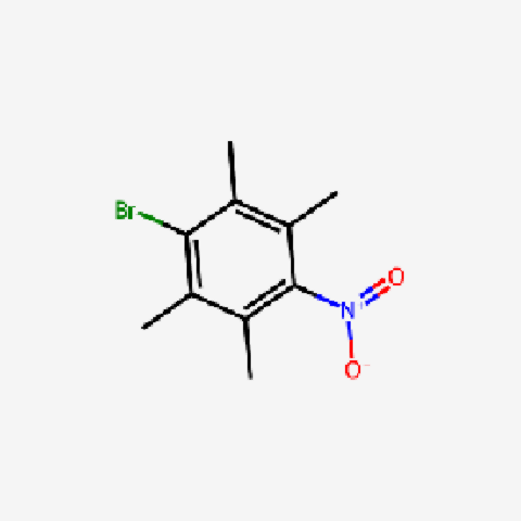 Cc1c(C)c([N+](=O)[O-])c(C)c(C)c1Br